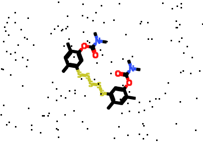 Cc1cc(C)c(SSSSSc2cc(OC(=O)N(C)C)c(C)cc2C)cc1OC(=O)N(C)C